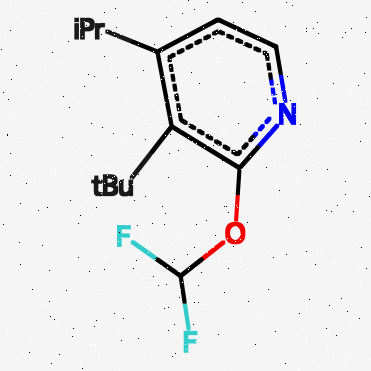 CC(C)c1ccnc(OC(F)F)c1C(C)(C)C